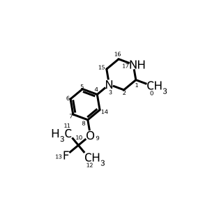 CC1CN(c2cccc(OC(C)(C)F)c2)CCN1